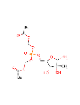 BC1O[C@H](COP(=O)(OCOC(=O)C(C)(C)C)OCOC(=O)C(C)(C)C)[C@@H](O)[C@@]1(C)O